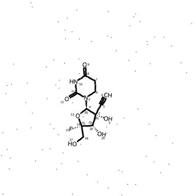 C#C[C@]1(O)[C@H](N2CCC(=O)NC2=O)O[C@](F)(CO)[C@H]1O